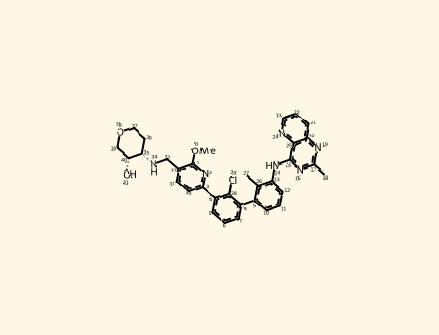 COc1nc(-c2cccc(-c3cccc(Nc4nc(C)nc5cccnc45)c3C)c2Cl)ccc1CN[C@H]1CCOC[C@H]1O